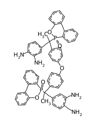 CC(c1ccc(Oc2ccc(C(C)(c3ccc(N)c(N)c3)P3(=O)Oc4ccccc4-c4ccccc43)cc2)cc1)(c1ccc(N)c(N)c1)P1(=O)Oc2ccccc2-c2ccccc21